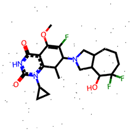 COC1=C(F)C(N2CC3CCCC(F)(F)C(O)C3C2)C(C)c2c1c(=O)[nH]c(=O)n2C1CC1